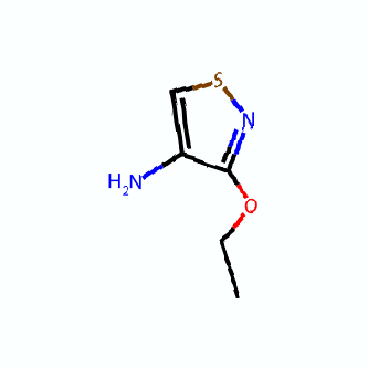 CCOc1nscc1N